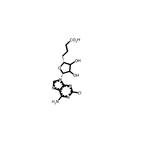 Nc1nc(Cl)nc2c1ncn2[C@@H]1O[C@H](CCCC(=O)O)C(O)C1O